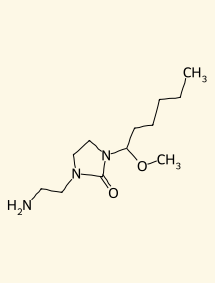 CCCCCC(OC)N1CCN(CCN)C1=O